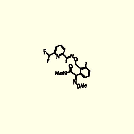 CNC(=O)/C(=N/OC)c1cccc(C)c1CO/N=C(\C)c1cccc(C(F)F)n1